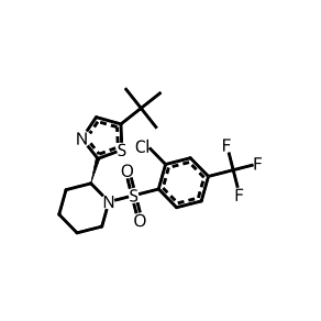 CC(C)(C)c1cnc([C@@H]2CCCCN2S(=O)(=O)c2ccc(C(F)(F)F)cc2Cl)s1